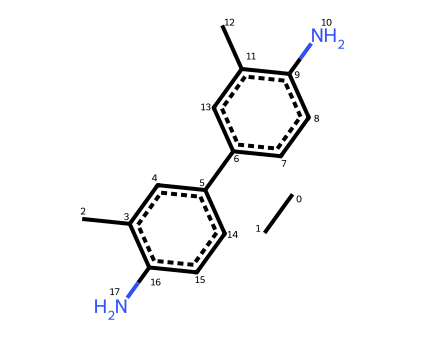 CC.Cc1cc(-c2ccc(N)c(C)c2)ccc1N